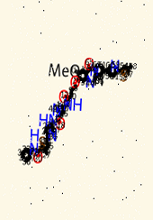 COc1cc2c(cc1OCCCC(=O)Nc1cc(C(=O)Nc3ccc(-c4cc(C)c(C(=O)Nc5ccccc5)s4)nc3)n(C)c1)N=C[C@@H]1CC(c3ccc(-c4cc(C)cs4)nc3)=CCN1C2=O